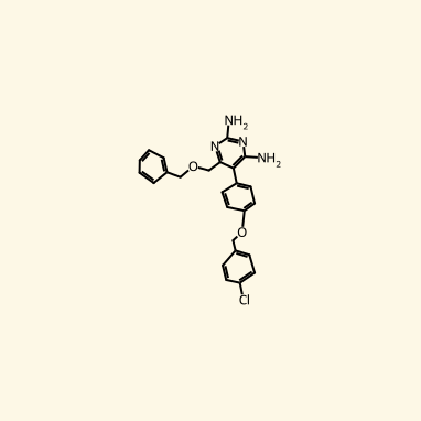 Nc1nc(N)c(-c2ccc(OCc3ccc(Cl)cc3)cc2)c(COCc2ccccc2)n1